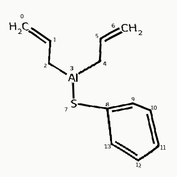 C=C[CH2][Al]([CH2]C=C)[S]c1ccccc1